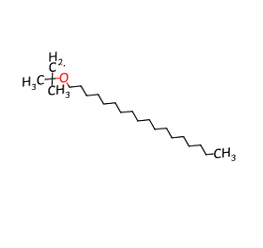 [CH2]C(C)(C)OCCCCCCCCCCCCCCCCCC